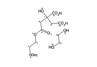 CCCCCCCCCCCCOC(=O)CC(O)(CC(=O)O)C(=O)O.OCCO